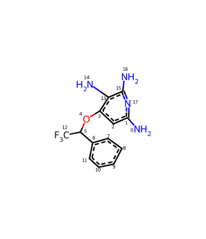 Nc1cc(OC(c2ccccc2)C(F)(F)F)c(N)c(N)n1